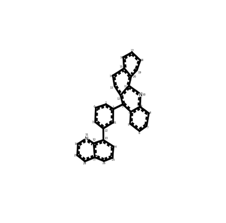 c1cc(-c2c3ccccc3nc3c2ccc2ccccc23)cc(-c2cccc3cccnc23)c1